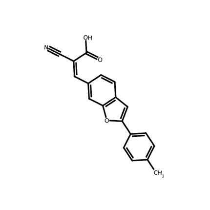 Cc1ccc(-c2cc3ccc(C=C(C#N)C(=O)O)cc3o2)cc1